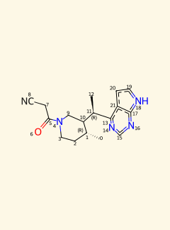 C[C@@H]1CCN(C(=O)CC#N)CC1[C@@H](C)c1ncnc2[nH]ccc12